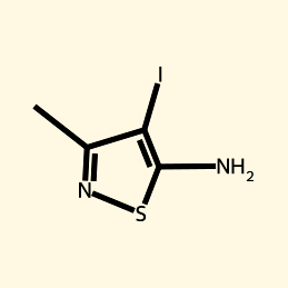 Cc1nsc(N)c1I